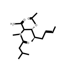 C/C=C/C[C@@H](C)[C@@H](OC(C)=O)C(C(N)=O)N(C)C(=O)CC(C)C